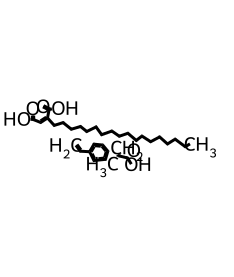 C=C(C)C(=O)O.C=Cc1ccccc1.CCCCCCCCCCCCCCCCCC/C(=C/C(=O)O)C(=O)O